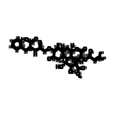 COC(=O)C12OC[C@]34C([C@@H](O)[C@@H]1O)[C@@]1(C)CC(=O)C(OCC(=O)NC(Cc5ccccc5)C(=O)O)=C(C)[C@@H]1C[C@H]3OC(=O)[C@H](OC(=O)C=C(C)C)[C@@H]24